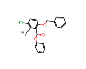 Cc1c(Cl)ccc(OCc2ccccc2)c1C(=O)Oc1ccccc1